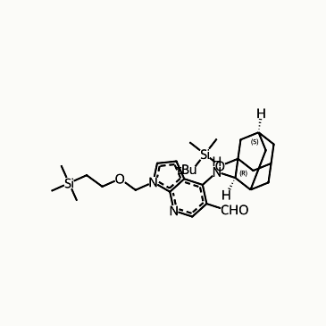 CC(C)(C)[Si](C)(C)OC12CC3CC(C[C@H](C3)C1)[C@H]2Nc1c(C=O)cnc2c1ccn2COCC[Si](C)(C)C